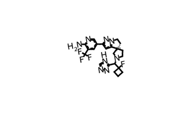 Nc1ncc(-c2cc3n(n2)CC[C@@]32CCN(C(c3nnc[nH]3)C3(F)CCC3)C2)cc1C(F)(F)F